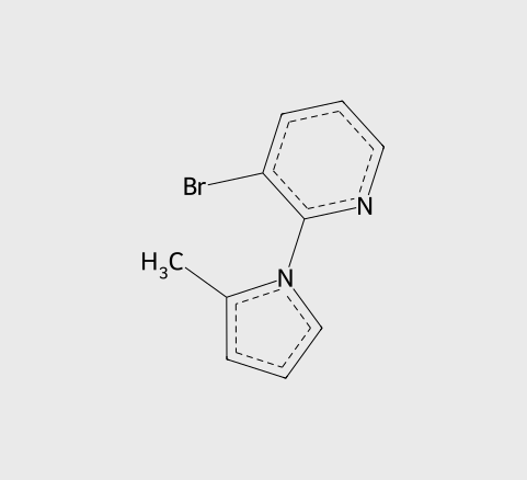 Cc1cccn1-c1ncccc1Br